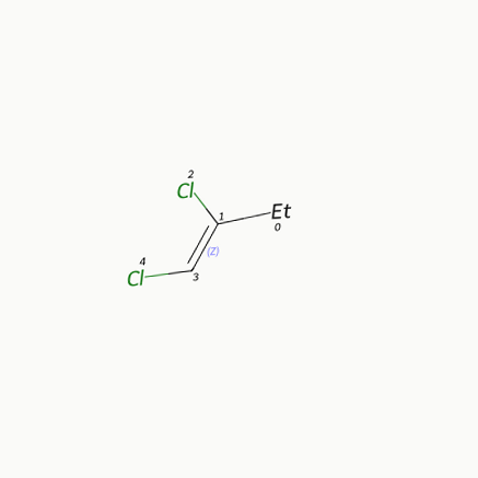 [CH2]C/C(Cl)=C/Cl